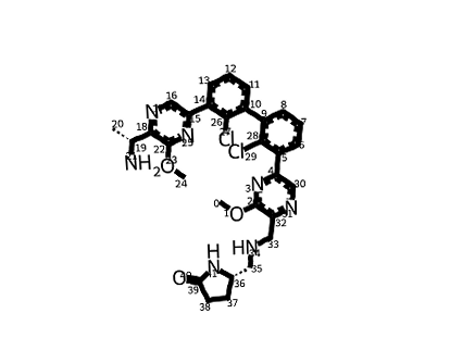 COc1nc(-c2cccc(-c3cccc(-c4cnc([C@@H](C)N)c(OC)n4)c3Cl)c2Cl)cnc1CNC[C@@H]1CCC(=O)N1